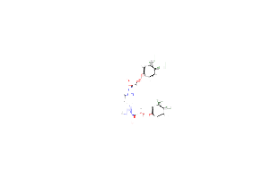 C=C(CCN(C)C(=O)COc1ccc(Cl)c(Cl)c1)NC(=O)COc1ccc(Cl)c(Cl)c1